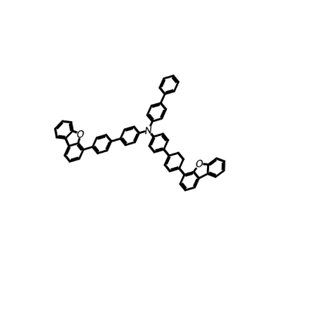 C1=C(c2ccc(N(c3ccc(-c4ccccc4)cc3)c3ccc(-c4ccc(-c5cccc6c5oc5ccccc56)cc4)cc3)cc2)CCC(c2cccc3c2oc2ccccc23)=C1